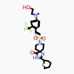 CN(CCO)c1ccc(/C=C/S(=O)(=O)N2CCC3(CC2)N=C(C2CCCCC2)NC3=O)c(C(F)(F)F)c1